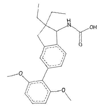 CCC1(CC)Cc2cc(-c3c(OC)cccc3OC)ccc2C1NC(=O)O